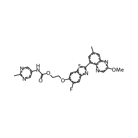 COc1cnc2c(-c3nc4cc(F)c(OCCOC(=O)Nc5cnc(C)nc5)cc4s3)cc(C)cc2n1